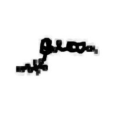 CC1CC2C3CC(CC(=O)OC45CC6CC(CC(COC(=O)C(F)(F)OOS)(C6)C4)C5)C(C3)C2C1